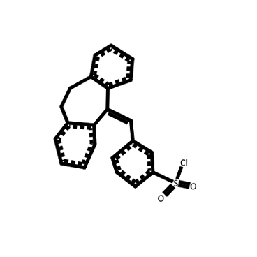 O=S(=O)(Cl)c1cccc(C=C2c3ccccc3CCc3ccccc32)c1